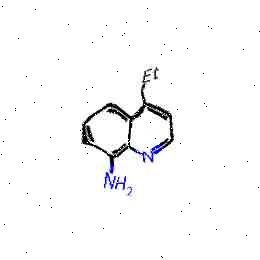 CCc1ccnc2c(N)cccc12